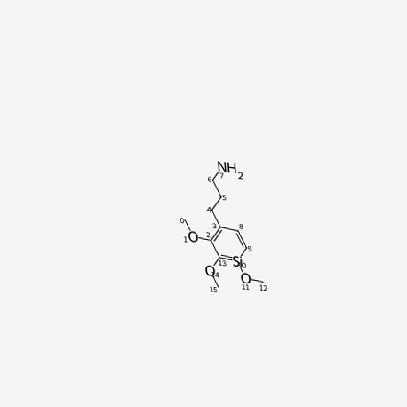 COc1c(CCCN)cc[si](OC)c1OC